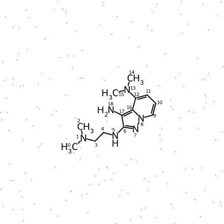 CN(C)CCNc1nn2cccc(N(C)C)c2c1N